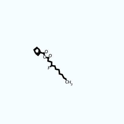 CCCCCCCCC(F)CCC(=O)OC(=O)C1CC2C=CC1C2